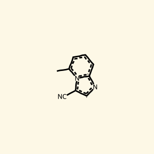 Cc1cccc2n[c]c(C#N)n12